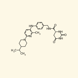 Cc1nc(N2CCC(C(C)C)CC2)ccc1Nc1ccc(CNC(=O)[C@@H]2CC(=O)NC(=O)N2)cc1